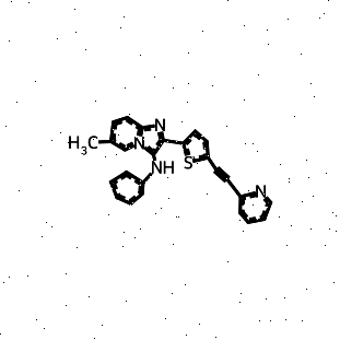 Cc1ccc2nc(-c3ccc(C#Cc4ccccn4)s3)c(Nc3ccccc3)n2c1